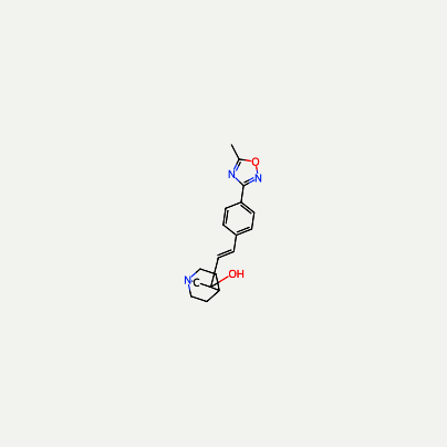 Cc1nc(-c2ccc(C=CC3(O)CN4CCC3CC4)cc2)no1